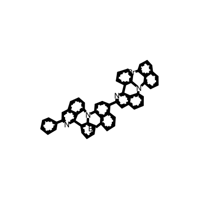 Brc1cccc2cccc(N3c4ccccc4-c4nc(-c5ccc(N6c7ccccc7-c7nc(-c8ccccc8)cc8cccc6c78)c6c(Br)cccc56)cc5cccc3c45)c12